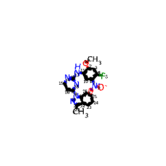 COc1cc(F)c([N+](=O)[O-])cc1Nc1nccc(-n2nc(C)c3ccccc32)n1